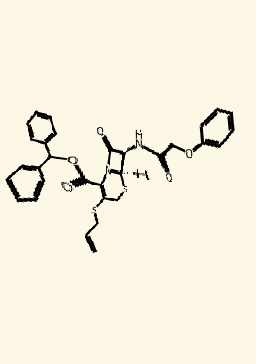 C=CCSC1=C(C(=O)OC(c2ccccc2)c2ccccc2)N2C(=O)[C@@H](NC(=O)COc3ccccc3)[C@H]2SC1